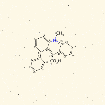 CN1C2=CC=CC(c3ccccc3)C2=C(C(=O)O)c2ccccc21